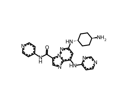 N[C@H]1CC[C@H](Nc2cc(Nc3ccncn3)c3ncc(C(=O)Nc4ccncc4)n3n2)CC1